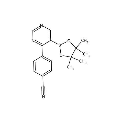 CC1(C)OB(c2cncnc2-c2ccc(C#N)cc2)OC1(C)C